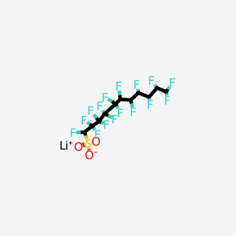 O=S(=O)([O-])C(F)C(F)(F)C(F)(F)C(F)(F)C(F)(F)C(F)C(F)C(F)C(F)C(F)C(F)F.[Li+]